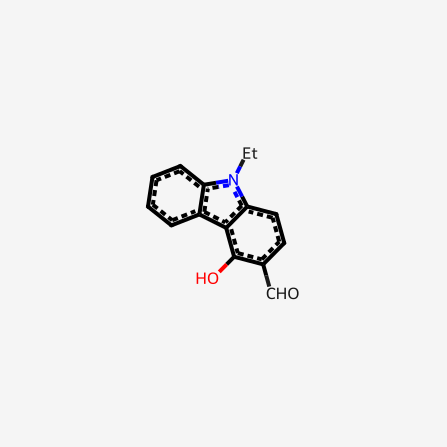 CCn1c2ccccc2c2c(O)c(C=O)ccc21